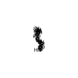 [2H]C([2H])([2H])N(C(=O)c1cc(F)c(C2CCN(Cc3cc4c(-n5ccc6c(c5=O)CCN6)ccnc4n3C)CC2)c(F)c1)C([2H])([2H])[2H]